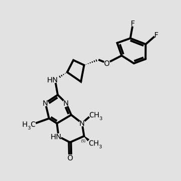 Cc1nc(N[C@H]2C[C@@H](COc3ccc(F)c(F)c3)C2)nc2c1NC(=O)[C@H](C)N2C